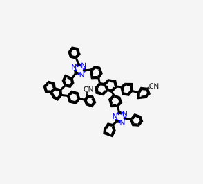 N#Cc1cccc(-c2ccc(-c3ccc4c(-c5cccc(-c6nc(-c7ccccc7)nc(-c7ccc(-c8c(-c9ccc(-c%10ccccc%10C#N)cc9)ccc9ccccc89)cc7)n6)c5)cccc4c3-c3ccc(-c4nc(-c5ccccc5)nc(-c5ccccc5)n4)cc3)cc2)c1